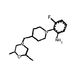 CC1CN(CC2CCN(c3c(N)cccc3F)CC2)CC(C)O1